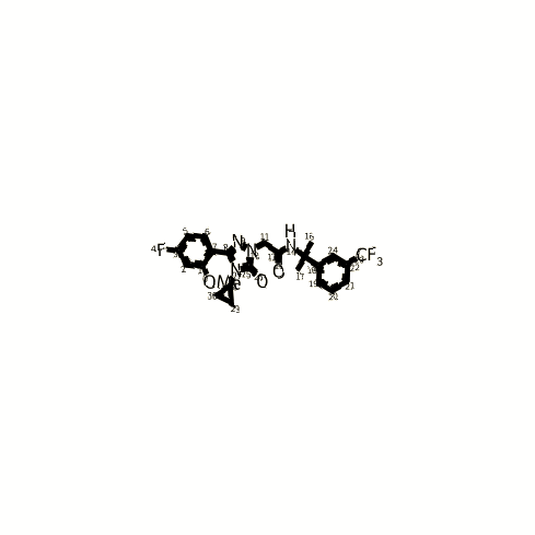 COc1cc(F)ccc1-c1nn(CC(=O)NC(C)(C)c2cccc(C(F)(F)F)c2)c(=O)n1C1CC1